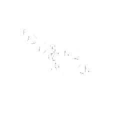 O=C(NOC1CCCCO1)[C@H]1CN(C(=O)C=Cc2cccnc2)CCN1S(=O)(=O)c1ccc(-c2ccc(F)cc2)s1